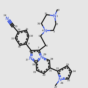 CN1CCN(CCc2c(-c3ccc(C#N)cc3)nc3ccc(-c4cccn4C)cn23)CC1